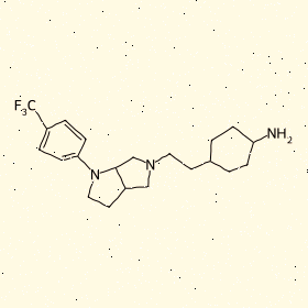 NC1CCC(CCN2CC3CCN(c4ccc(C(F)(F)F)cc4)C3C2)CC1